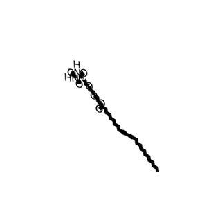 CCCCCCCCCCCCC#CC#CCCCCCCCCC(=O)OCCOCCOCCn1c(=O)[nH]c(=O)[nH]c1=O